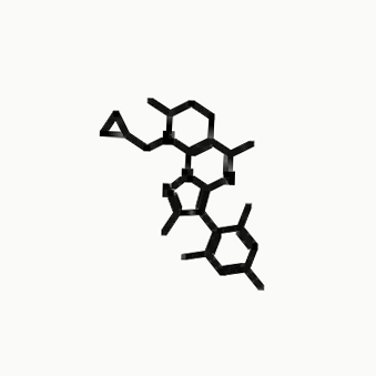 Cc1cc(C)c(-c2c(C)nn3c4c(c(C)nc23)CCC(C)N4CC2CC2)c(C)c1